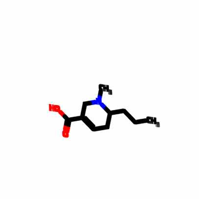 CCCC1CC=C(C(=O)O)CN1C